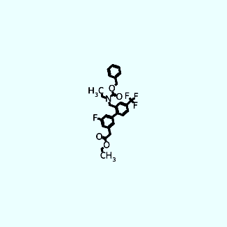 CCOC(=O)Cc1cc(F)cc(-c2ccc(C(F)(F)F)cc2CN(CC)C(=O)OCc2ccccc2)c1